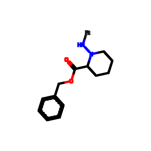 CCNN1CCCCC1C(=O)OCc1ccccc1